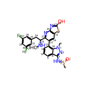 Cn1nc(N[S+](C)[O-])c2cccc(-c3cc4sc(O)nc4nc3C(Cc3cc(F)cc(F)c3)NC=O)c21